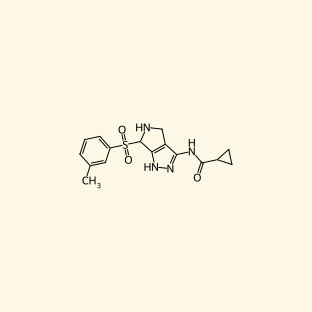 Cc1cccc(S(=O)(=O)C2NCc3c(NC(=O)C4CC4)n[nH]c32)c1